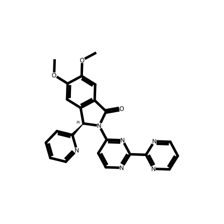 COc1cc2c(cc1OC)[C@H](c1ccccn1)N(c1ccnc(-c3ncccn3)n1)C2=O